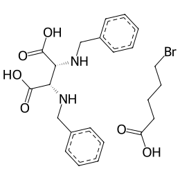 O=C(O)CCCCBr.O=C(O)[C@@H](NCc1ccccc1)[C@@H](NCc1ccccc1)C(=O)O